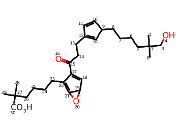 CC(C)(CO)CCCCC1C=CC(CCC(=O)C2=CC3OC3=C2CCCCC(C)(C)C(=O)O)=C1